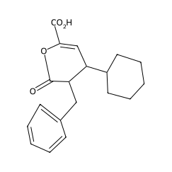 O=C(O)C1=CC(C2CCCCC2)C(Cc2ccccc2)C(=O)O1